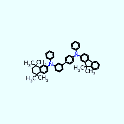 CC1(C)CCC(C)(C)c2cc(N(c3ccccc3)c3cccc(-c4ccc(N(c5ccccc5)c5ccc6c(c5)C(C)(C)c5ccccc5-6)cc4)c3)ccc21